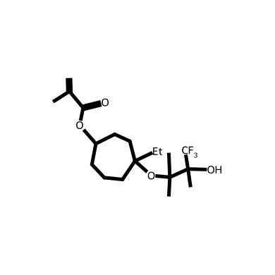 C=C(C)C(=O)OC1CCCC(CC)(OC(C)(C)C(C)(O)C(F)(F)F)CC1